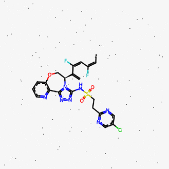 C=C(/C(F)=C\C(F)=C/C)[C@@H]1COc2cccnc2-c2nnc(NS(=O)(=O)CCc3ncc(Cl)cn3)n21